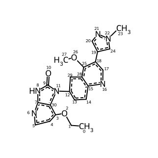 CCOc1ccnc2[nH]c(=O)n(-c3ccc4ncc(-c5cnn(C)c5)c(OC)c4c3)c12